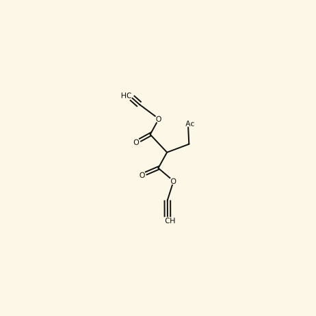 C#COC(=O)C(CC(C)=O)C(=O)OC#C